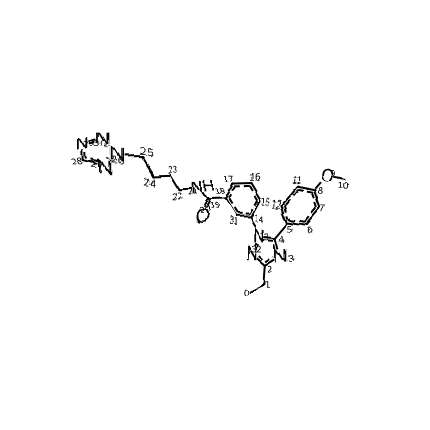 CCc1nc(-c2ccc(OC)cc2)n(-c2cccc(C(=O)NCCCCn3ncnn3)c2)n1